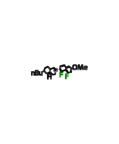 CCCCC1CCC2C[C@H](c3ccc4cc(OC)cc(F)c4c3F)CC[C@@H]2C1